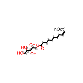 CCCCCCCC/C=C\CCCCCCCC(=O)OC[C@@H](O)[C@H](O)[C@H](O)CO